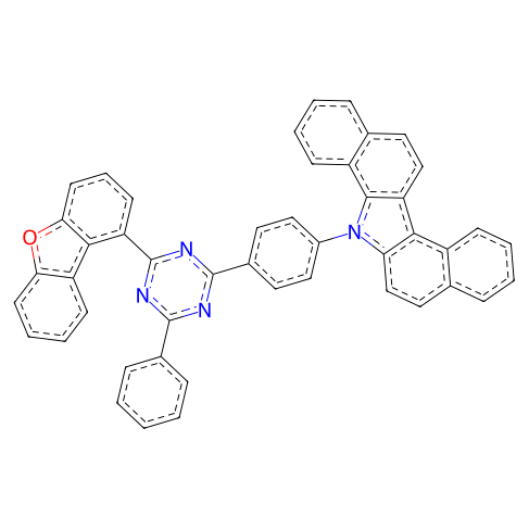 c1ccc(-c2nc(-c3ccc(-n4c5ccc6ccccc6c5c5ccc6ccccc6c54)cc3)nc(-c3cccc4oc5ccccc5c34)n2)cc1